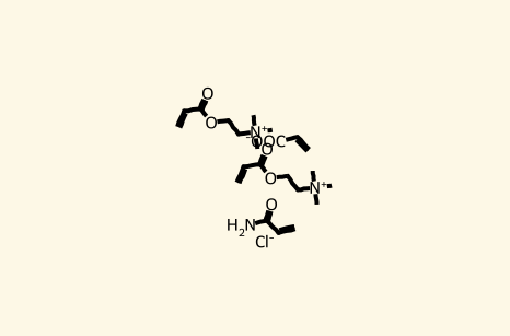 C=CC(=O)OCC[N+](C)(C)C.C=CC(=O)OCC[N+](C)(C)C.C=CC(=O)[O-].C=CC(N)=O.[Cl-]